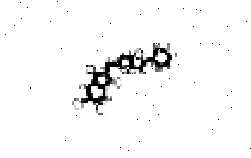 O=C1C(=Cc2cc3oc(C4CCCCC4)cc3s2)C(=O)c2cc(Cl)c(Cl)cc21